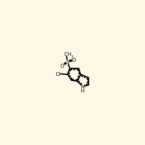 CS(=O)(=O)c1cc2cc[nH]c2cc1Cl